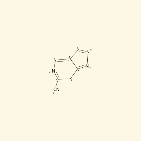 N#CC1=NC=C2C=NN=C2C1